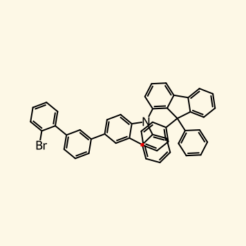 Brc1ccccc1-c1cccc(-c2ccc3c(c2)c2ccccc2n3-c2cccc3c2C(c2ccccc2)(c2ccccc2)c2ccccc2-3)c1